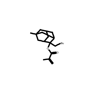 C=C(C)C(=O)OC1(CC(C)CC)C2CC3CC1CC(C)(C3)C2